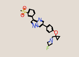 CS(=O)(=O)c1cccc(-c2cnn3cc(-c4ccc(OC5(CN6CC(F)C6)CC5)cc4)cnc23)c1